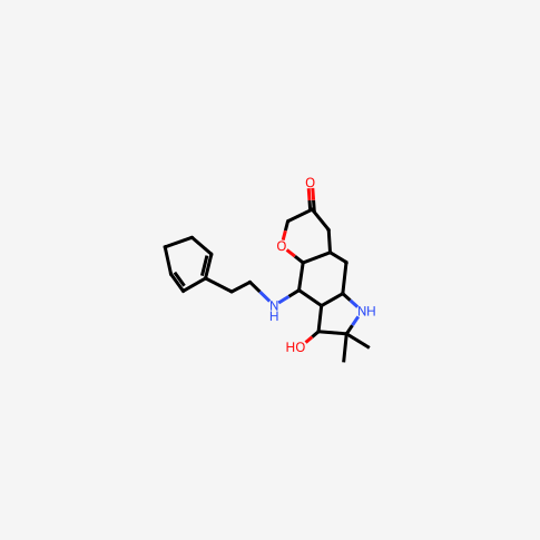 CC1(C)NC2CC3CC(=O)COC3C(NCCC3=CCCC=C3)C2C1O